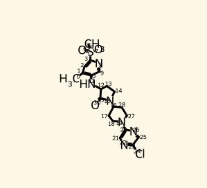 Cc1cc(S(C)(=O)=O)ncc1NC1CCN(C2CCN(c3cnc(Cl)cn3)CC2)C1=O